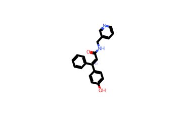 O=C(/C=C(\c1ccccc1)c1ccc(O)cc1)NCc1cccnc1